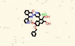 COc1cc2c(-c3ccnc(-n4nc(-c5cccnc5)c5ccccc5c4=O)c3)c(CO)c(CO)cc2cc1OCc1ccccc1.Cl